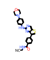 N#CCNC(=O)c1ccc(-c2csc3cnc(Nc4ccc(N5CCOCC5)cc4)nc23)cc1